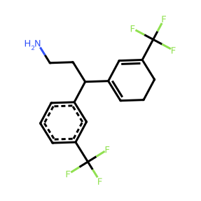 NCCC(C1=CCCC(C(F)(F)F)=C1)c1cccc(C(F)(F)F)c1